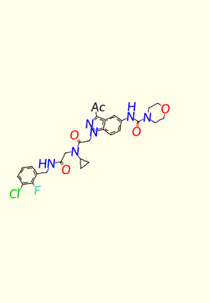 CC(=O)c1nn(CC(=O)N(CC(=O)NCc2cccc(Cl)c2F)C2CC2)c2ccc(NC(=O)N3CCOCC3)cc12